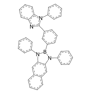 c1ccc(N2B(c3cccc(-c4nc5ccccc5n4-c4ccccc4)c3)N(c3ccccc3)c3cc4ccccc4cc32)cc1